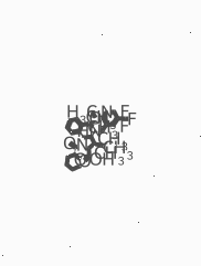 COc1ncc(C(F)(F)F)cc1CN[C@H]1C(C(C)(C)C)C(C(=O)O)N(C(=O)[C@H]2CCCCO2)[C@H]1c1ccccc1C(C)C